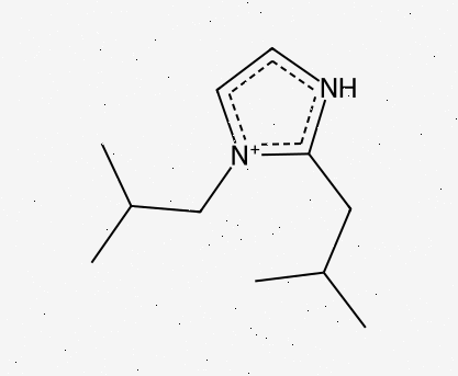 CC(C)Cc1[nH]cc[n+]1CC(C)C